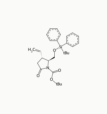 C=C[C@H]1CC(=O)N(C(=O)OC(C)(C)C)[C@@H]1CO[Si](c1ccccc1)(c1ccccc1)C(C)(C)C